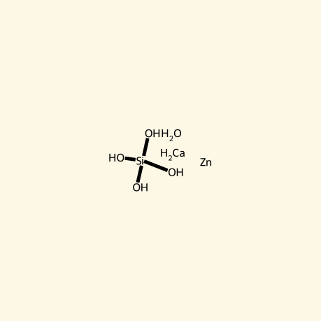 O.O[Si](O)(O)O.[CaH2].[Zn]